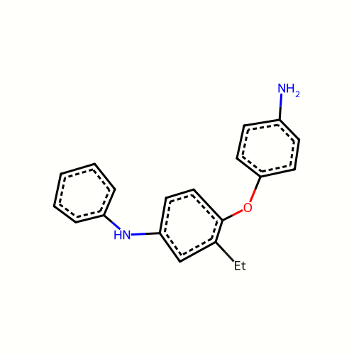 CCc1cc(Nc2ccccc2)ccc1Oc1ccc(N)cc1